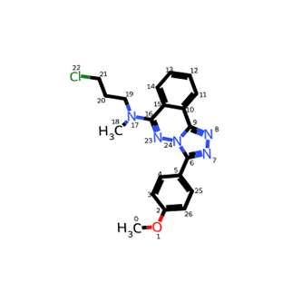 COc1ccc(-c2nnc3c4ccccc4c(N(C)CCCCl)nn23)cc1